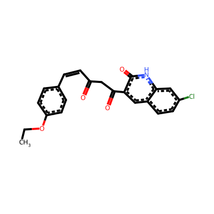 CCOc1ccc(/C=C\C(=O)CC(=O)c2cc3ccc(Cl)cc3[nH]c2=O)cc1